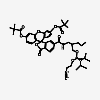 [C-]#[N+]CCOP(OCC(CCC)CNC(=O)c1ccc2c(c1)C1(OC2=O)c2ccc(OC(=O)C(C)(C)C)cc2Oc2cc(OC(=O)C(C)(C)C)ccc21)N(C(C)C)C(C)C